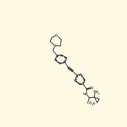 NC1(C(NC(=O)c2ccc(C#Cc3ccc(CN4CCOCC4)cc3)cc2)C(=O)O)CC1